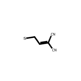 N#CC(C#N)=CC[Si]